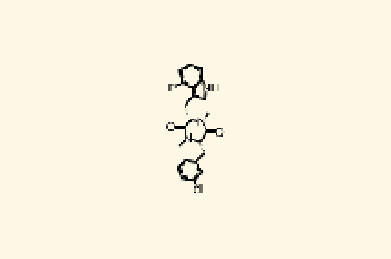 CN1C(=O)[C@H](Cc2c[nH]c3cccc(F)c23)N(C)C(=O)[C@@H]1Cc1cccc(Cl)c1